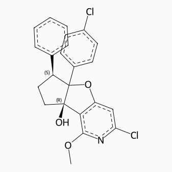 COc1nc(Cl)cc2c1[C@]1(O)CC[C@@H](c3ccccc3)C1(c1ccc(Cl)cc1)O2